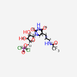 O=C(NC/C=C/c1cn([C@@H]2O[C@H](COP(=O)(Cl)Cl)C(O)[C@@H]2O)c(=O)[nH]c1=O)C(F)(F)F